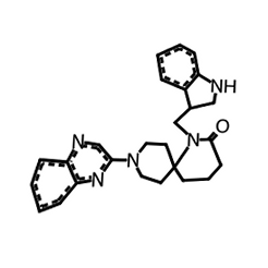 O=C1CCCC2(CCN(c3cnc4ccccc4n3)CC2)N1CC1CNc2ccccc21